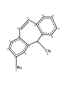 CC(C)(C)c1ccc2c(c1)C(C#N)c1ccccc1C=C2